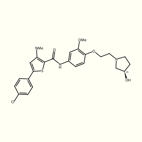 CNc1cc(-c2ccc(Cl)cc2)sc1C(=O)Nc1ccc(OCCN2CC[C@@H](O)C2)c(OC)c1